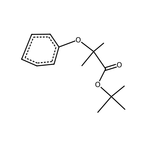 CC(C)(C)OC(=O)C(C)(C)Oc1ccccc1